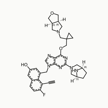 C#Cc1c(F)ccc2cc(O)cc(Cn3cnc4c(OCC5(CN6C[C@H]7COC[C@H]7C6)CC5)nc(N5C[C@H]6CC[C@@H](C5)N6)nc43)c12